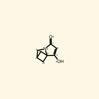 O=C1C=C(O)C23CC(CN12)C3